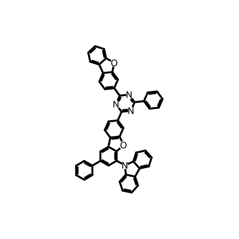 c1ccc(-c2cc(-n3c4ccccc4c4ccccc43)c3oc4cc(-c5nc(-c6ccccc6)nc(-c6ccc7c(c6)oc6ccccc67)n5)ccc4c3c2)cc1